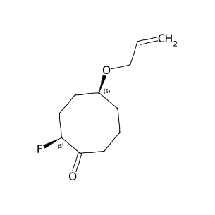 C=CCO[C@H]1CCCC(=O)[C@@H](F)CC1